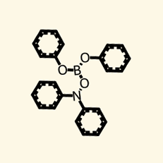 c1ccc(OB(Oc2ccccc2)ON(c2ccccc2)c2ccccc2)cc1